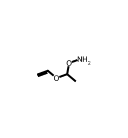 C=COC(C)ON